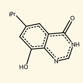 CC(C)c1cc(O)c2nc[nH]c(=O)c2c1